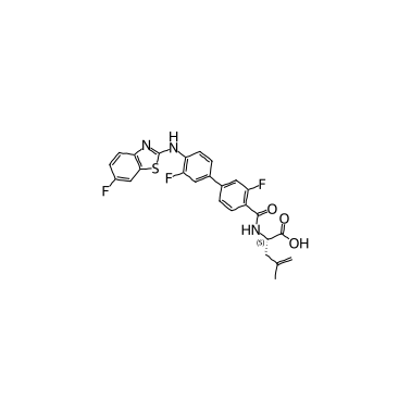 C=C(C)C[C@H](NC(=O)c1ccc(-c2ccc(Nc3nc4ccc(F)cc4s3)c(F)c2)cc1F)C(=O)O